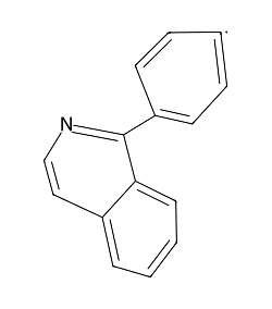 [c]1ccc(-c2nccc3ccccc23)cc1